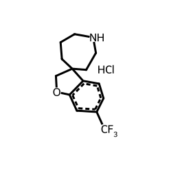 Cl.FC(F)(F)c1ccc2c(c1)OCC21CCCNCC1